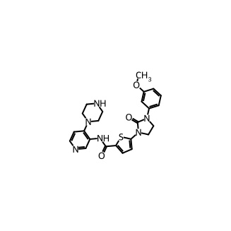 COc1cccc(N2CCN(c3ccc(C(=O)Nc4cnccc4N4CCNCC4)s3)C2=O)c1